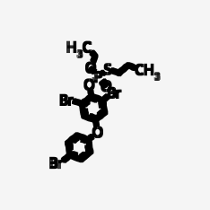 CCCSP(=O)(OCC)Oc1c(Br)cc(Oc2ccc(Br)cc2)cc1Br